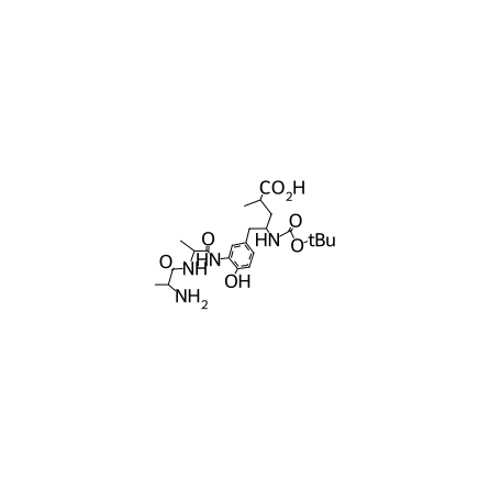 CC(N)C(=O)NC(C)C(=O)Nc1cc(CC(CC(C)C(=O)O)NC(=O)OC(C)(C)C)ccc1O